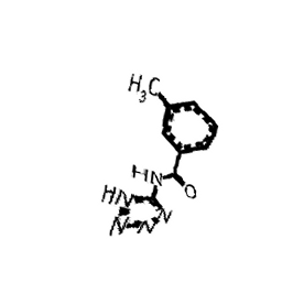 Cc1cccc(C(=O)Nc2nnn[nH]2)c1